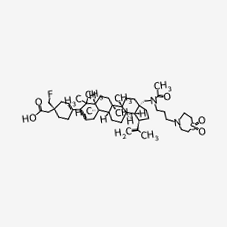 C=C(C)[C@@H]1CC[C@]2(CN(CCCN3CCS(=O)(=O)CC3)C(C)=O)CC[C@]3(C)[C@H](CC[C@@H]4[C@@]5(C)CC=C(C6=CC[C@@](CF)(CC(=O)O)CC6)C(C)(C)[C@@H]5CC[C@@]43C)[C@@H]12